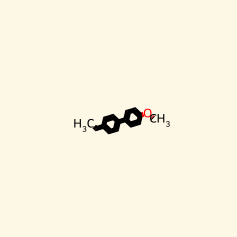 CCc1ccc(-c2ccc(OC)cc2)cc1